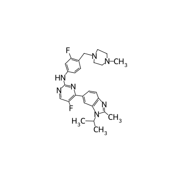 Cc1nc2ccc(-c3nc(Nc4ccc(CN5CCN(C)CC5)c(F)c4)ncc3F)cc2n1C(C)C